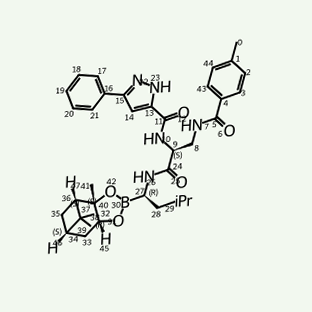 Cc1ccc(C(=O)NC[C@H](NC(=O)c2cc(-c3ccccc3)n[nH]2)C(=O)N[C@@H](CC(C)C)B2O[C@@H]3C[C@@H]4C[C@@H](C4(C)C)[C@]3(C)O2)cc1